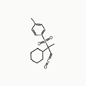 Cc1ccc(S(=O)(=O)C(C)(C=C=O)C2CCCCC2)cc1